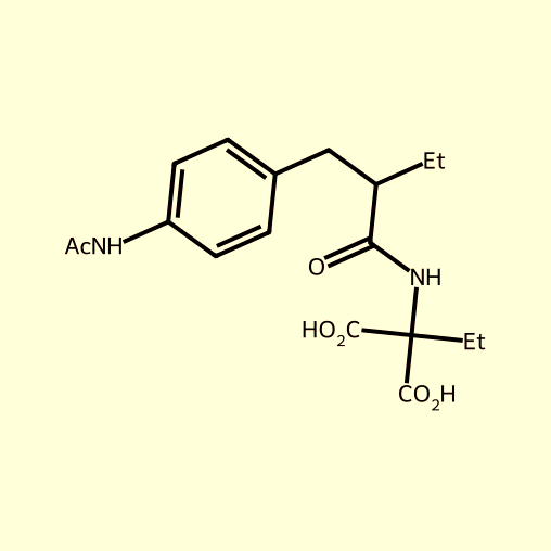 CCC(Cc1ccc(NC(C)=O)cc1)C(=O)NC(CC)(C(=O)O)C(=O)O